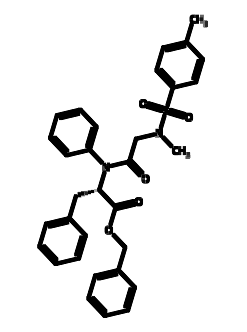 Cc1ccc(S(=O)(=O)N(C)CC(=O)N(c2ccccc2)[C@@H](Cc2ccccc2)C(=O)OCc2ccccc2)cc1